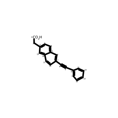 O=C(O)Cc1ccc2cc(C#Cc3ccccc3)ccc2c1